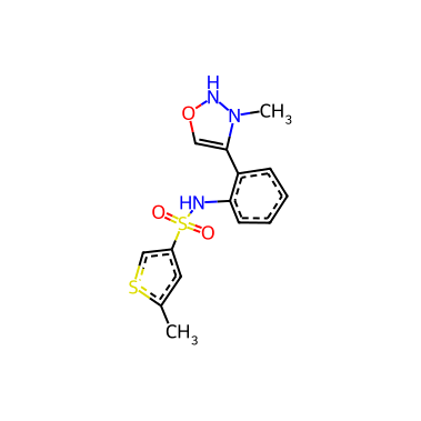 Cc1cc(S(=O)(=O)Nc2ccccc2C2=CONN2C)cs1